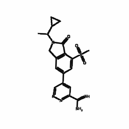 CC(C1CC1)N1Cc2cc(-c3cnnc(C(=N)N)c3)cc(S(C)(=O)=O)c2C1=O